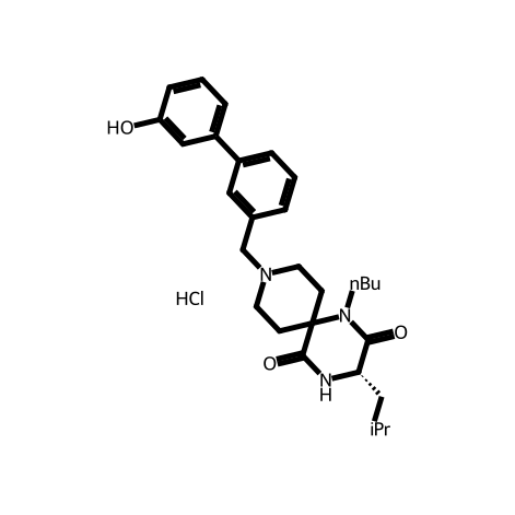 CCCCN1C(=O)[C@H](CC(C)C)NC(=O)C12CCN(Cc1cccc(-c3cccc(O)c3)c1)CC2.Cl